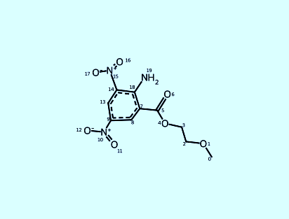 COCCOC(=O)c1cc([N+](=O)[O-])cc([N+](=O)[O-])c1N